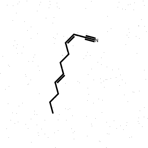 CCCC=CCC/C=C\C#N